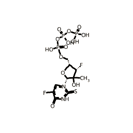 CC1(O)[C@@H](F)[C@@H](COP(=O)(O)OP(=O)(O)OP(=O)(O)O)O[C@H]1n1cc(F)c(=O)[nH]c1=S